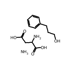 N.NC(CC(=O)O)C(=O)O.OCCCc1ccccc1